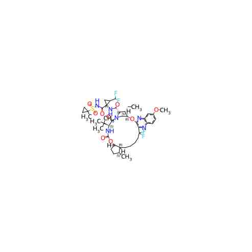 CC[C@@H]1[C@@H]2CN(C(=O)[C@H](C(C)(C)C)NC(=O)O[C@@H]3CC[C@H](C)[C@H]3CCCCC(F)(F)c3nc4ccc(OC)cc4nc3O2)[C@@H]1C(=O)N[C@]1(C(=O)NS(=O)(=O)C2(C)CC2)CC1C(F)F